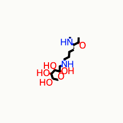 CN[C@@H](CCCCNCC1(O)OCC(O)C(O)C1O)C(C)=O